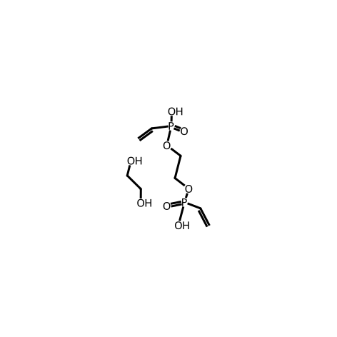 C=CP(=O)(O)OCCOP(=O)(O)C=C.OCCO